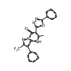 Cc1[nH]c2c(-c3ccccc3)c(C(F)(F)F)nn2c(=O)c1-c1nnc(-c2ccccc2)o1